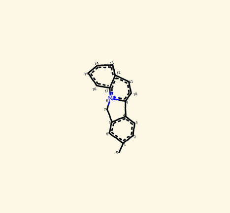 Cc1ccc2c(c1)C[n+]1c-2ccc2ccccc21